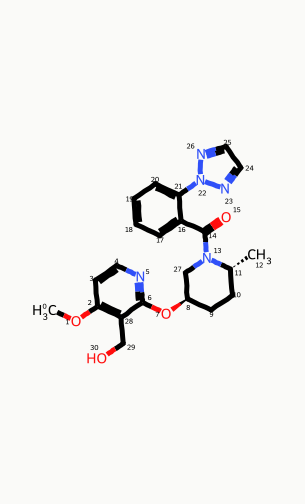 COc1ccnc(O[C@@H]2CC[C@@H](C)N(C(=O)c3ccccc3-n3nccn3)C2)c1CO